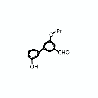 CC(C)Oc1cc(C=O)cc(-c2cccc(O)c2)c1